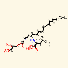 CC(C)CC(N)C(=O)O.CCCCCCCCCCCCC/C=C/C(=O)OCC(O)CO